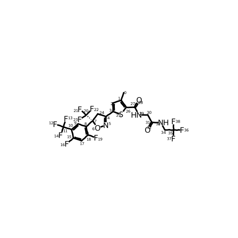 Cc1cc(C2=NO[C@](c3cc(C(F)(F)F)c(F)cc3F)(C(F)(F)F)C2)sc1C(=O)NCC(=O)NCC(F)(F)F